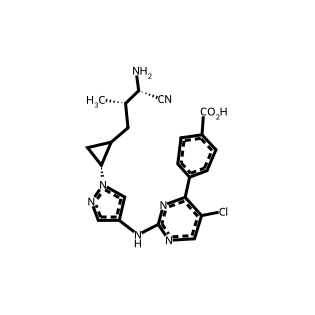 C[C@@H](CC1C[C@H]1n1cc(Nc2ncc(Cl)c(-c3ccc(C(=O)O)cc3)n2)cn1)[C@H](N)C#N